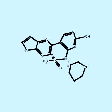 CS(=O)(=O)N(c1nc(O)ncc1-c1cnc2[nH]ccc2n1)[C@H]1CCCNC1